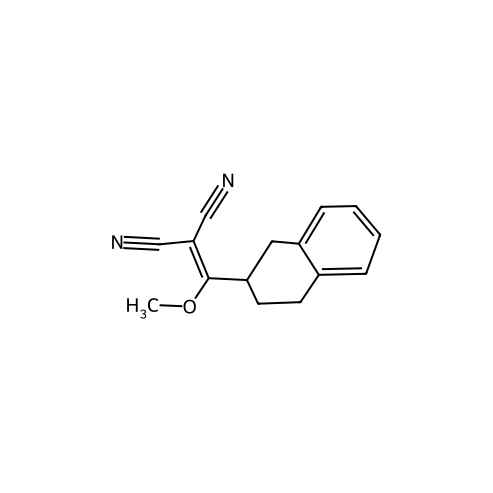 COC(=C(C#N)C#N)C1CCc2ccccc2C1